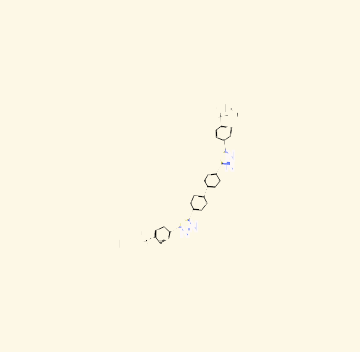 CC(C)(C)c1ccc(-c2nnc(-c3ccc(-c4ccc(-c5nnc(-c6ccc(C(C)(C)C)cc6)s5)cc4)cc3)s2)cc1